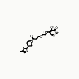 Cc1cnc(N2CCN(C(=O)CCOCCNc3cn[nH]c(=O)c3C(F)(F)F)CC2)s1